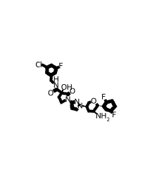 N[C@H]1C[C@@H](n2ccc(N3CC[C@](O)(C(=O)NCc4cc(F)cc(Cl)c4)C3=O)n2)CO[C@@H]1c1cc(F)ccc1F